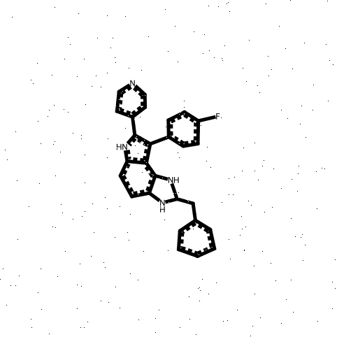 Fc1ccc(-c2c(-c3ccncc3)[nH]c3ccc4c(c23)NC(Cc2ccccc2)N4)cc1